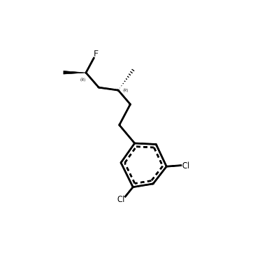 C[C@H](CCc1cc(Cl)cc(Cl)c1)C[C@@H](C)F